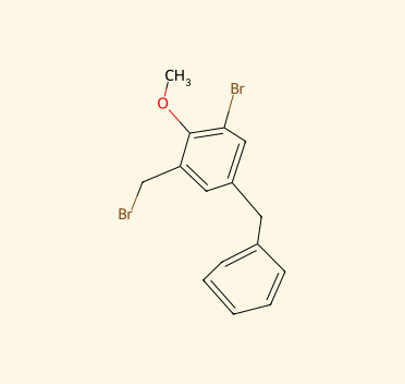 COc1c(Br)cc(Cc2ccccc2)cc1CBr